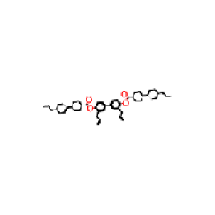 C=CCc1cc(-c2ccc(OC(=O)[C@H]3CC[C@H]([C@H]4CC[C@H](CCC)CC4)CC3)c(CC=C)c2)ccc1OC(=O)[C@H]1CC[C@H]([C@H]2CC[C@H](CCC)CC2)CC1